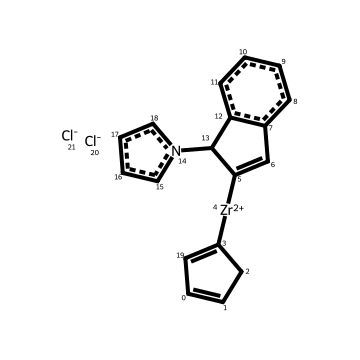 C1=CC[C]([Zr+2][C]2=Cc3ccccc3C2n2cccc2)=C1.[Cl-].[Cl-]